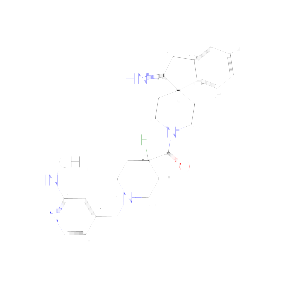 CNc1cc(CN2CCC(F)(C(=O)N3CCC4(CC3)C(=N)Cc3ccccc34)CC2)ccn1